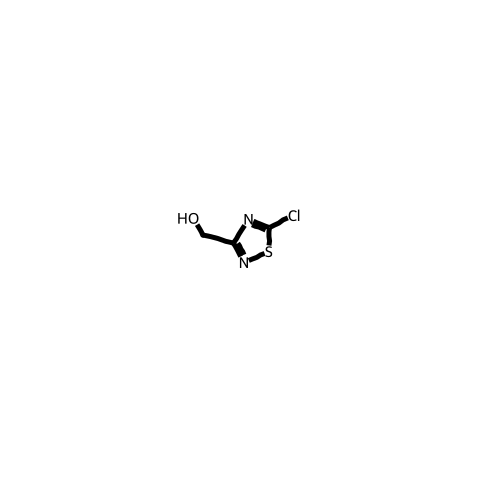 OCc1nsc(Cl)n1